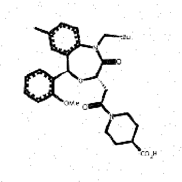 COc1ccccc1[C@@H]1O[C@@H](CC(=O)N2CCC(C(=O)O)CC2)C(=O)N(CC(C)(C)C)c2ccc(C)cc21